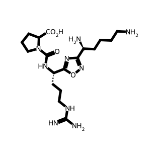 N=C(N)NCCC[C@H](NC(=O)N1CCCC1C(=O)O)c1nc([C@@H](N)CCCCN)no1